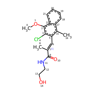 COc1c(Cl)c(/C=C(\C)C(=O)NCCO)c(C)c2ccccc12